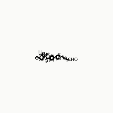 CN(C(=O)c1ccc(N2CCN(CCOCC=O)CC2)cc1C=O)C1CCC(=O)NC1=O